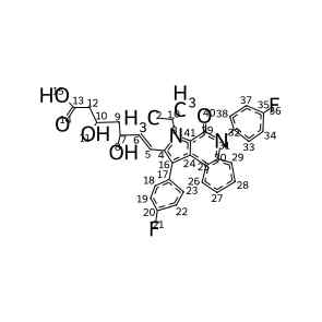 CC(C)n1c(/C=C/C(O)CC(O)CC(=O)O)c(-c2ccc(F)cc2)c2c3ccccc3n(-c3ccc(F)cc3)c(=O)c21